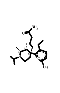 CCc1ccc(O)cc1[C@]1(CCCC(N)=O)CCN(C(C)C)[C@H](C)[C@@H]1C